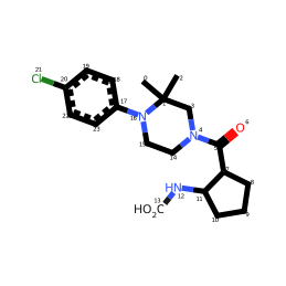 CC1(C)CN(C(=O)C2CCCC2NC(=O)O)CCN1c1ccc(Cl)cc1